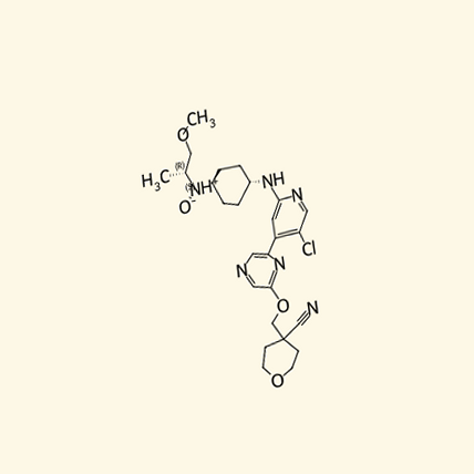 COC[C@@H](C)[N@@H+]([O-])[C@H]1CC[C@H](Nc2cc(-c3cncc(OCC4(C#N)CCOCC4)n3)c(Cl)cn2)CC1